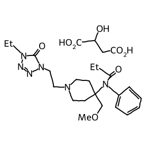 CCC(=O)N(c1ccccc1)C1(COC)CCN(CCn2nnn(CC)c2=O)CC1.O=C(O)CC(O)C(=O)O